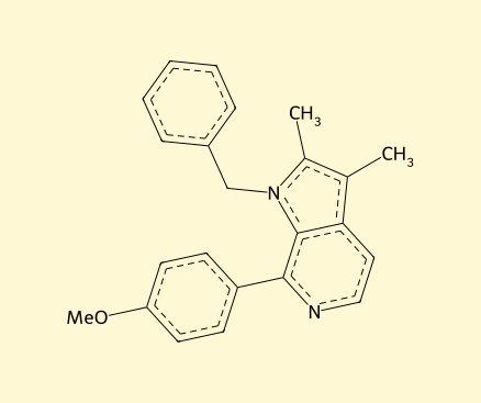 COc1ccc(-c2nccc3c(C)c(C)n(Cc4ccccc4)c23)cc1